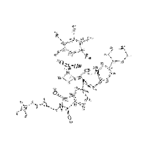 C[Si](C)(C)CCOCN1C(=O)c2ccc(N(Cc3ccc(C4CCCCC4)cn3)C(=O)[C@H]3CCN3S(=O)(=O)c3c(F)c(F)c(F)c(F)c3F)cc2C1=O